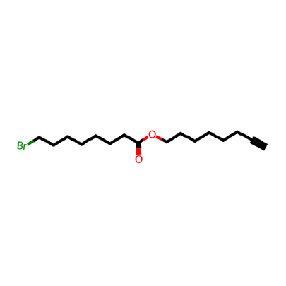 C#CCCCCCCOC(=O)CCCCCCCBr